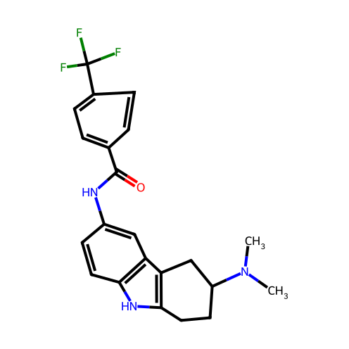 CN(C)C1CCc2[nH]c3ccc(NC(=O)c4ccc(C(F)(F)F)cc4)cc3c2C1